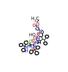 C=CCOC(=O)N1CC[C@@H](N2CCC(=CC3=C(C(=O)O)N4C(=O)[C@@H](NC(=O)C(=NOC(c5ccccc5)(c5ccccc5)c5ccccc5)c5nc(NC(c6ccccc6)(c6ccccc6)c6ccccc6)sc5Cl)[C@H]4CC3C(c3ccccc3)c3ccccc3)C2=O)C1